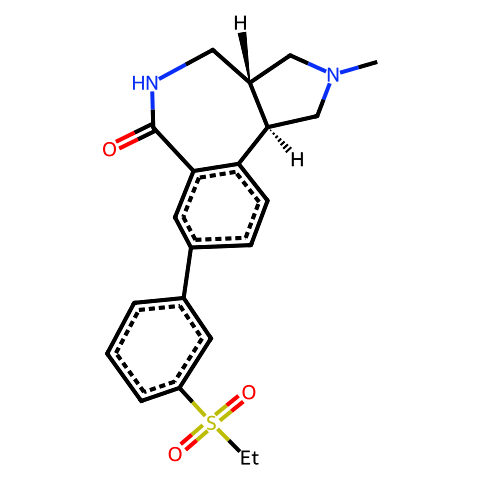 CCS(=O)(=O)c1cccc(-c2ccc3c(c2)C(=O)NC[C@@H]2CN(C)C[C@@H]32)c1